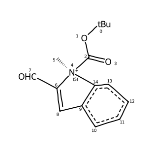 CC(C)(C)OC(=O)[N@+]1(C)C(C=O)=Cc2ccccc21